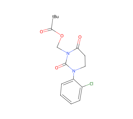 CC(C)(C)C(=O)OCN1C(=O)CCN(c2ccccc2Cl)C1=O